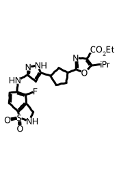 CCOC(=O)c1nc(C2CCC(c3cc(Nc4ccc5c(c4F)CNS5(=O)=O)n[nH]3)C2)oc1C(C)C